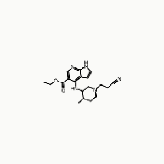 CCOC(=O)c1cnc2[nH]ccc2c1NC1CN(CCC#N)CCC1C